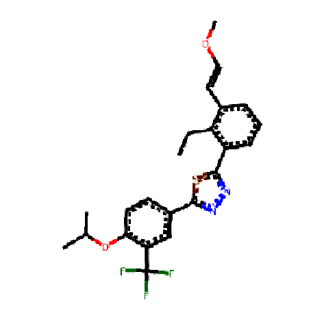 CCc1c(C=COC)cccc1-c1nnc(-c2ccc(OC(C)C)c(C(F)(F)F)c2)s1